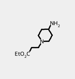 CCOC(=O)CCN1CCC(N)CC1